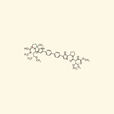 COC(=O)N[C@H](C(=O)N1CCCC1c1ncc(-c2ccc(-c3ccc(-c4cnc(C5(C)CCCN5C(=O)[C@H]([C@@H](C)OC)N(C)C(=O)O)[nH]4)cc3)cc2)[nH]1)[C@@H](C)OC